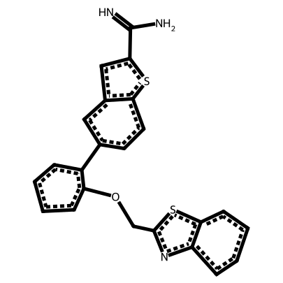 N=C(N)c1cc2cc(-c3ccccc3OCc3nc4ccccc4s3)ccc2s1